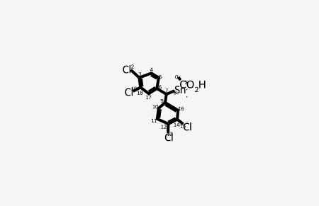 CC(=O)O.Clc1ccc([CH]([Sn])c2ccc(Cl)c(Cl)c2)cc1Cl